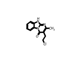 Cc1nc2[nH]c3ccccc3n2c(=O)c1CCCl